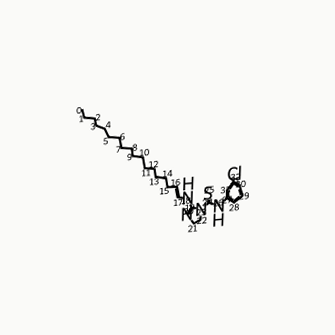 CCCCCCCCCCCCCCCC/C=C/NC1=NCCN1C(=S)Nc1cccc(Cl)c1